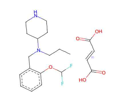 CCCN(Cc1ccccc1OC(F)F)C1CCNCC1.O=C(O)/C=C/C(=O)O